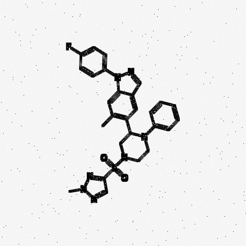 Cc1cc2c(cnn2-c2ccc(F)cc2)cc1C1CN(S(=O)(=O)c2cnn(C)n2)CCN1c1ccccc1